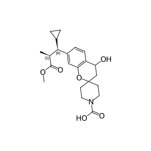 COC(=O)[C@@H](C)[C@H](c1ccc2c(c1)OC1(CCN(C(=O)O)CC1)CC2O)C1CC1